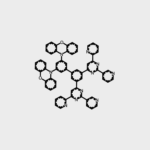 c1ccc(-c2cc(-c3cc(-c4cc(N5c6ccccc6Oc6ccccc65)cc(N5c6ccccc6Oc6ccccc65)c4)cc(-c4cc(-c5ccccn5)nc(-c5cccnc5)n4)c3)nc(-c3cccnc3)n2)nc1